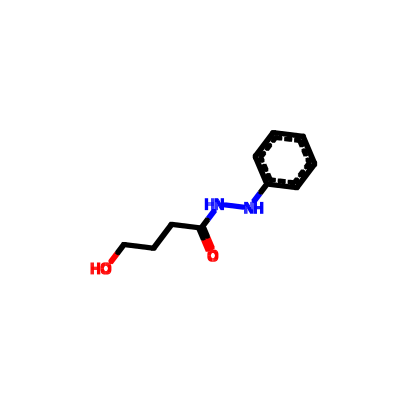 O=C(CCCO)NNc1ccccc1